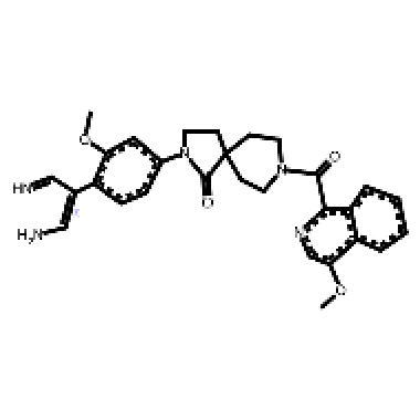 COc1cc(N2CCC3(CCN(C(=O)c4ncc(OC)c5ccccc45)CC3)C2=O)ccc1/C(C=N)=C/N